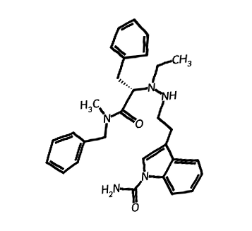 CCN(NCCc1cn(C(N)=O)c2ccccc12)[C@@H](Cc1ccccc1)C(=O)N(C)Cc1ccccc1